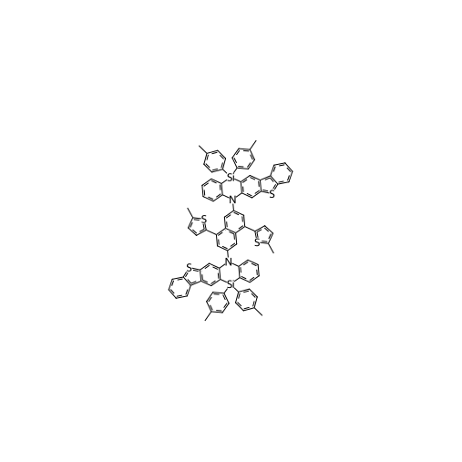 Cc1ccc([Si]2(c3ccc(C)cc3)c3ccccc3N(c3cc(-c4ccc(C)s4)c4cc(N5c6ccccc6[Si](c6ccc(C)cc6)(c6ccc(C)cc6)c6cc7c(cc65)sc5ccccc57)cc(-c5ccc(C)s5)c4c3)c3cc4sc5ccccc5c4cc32)cc1